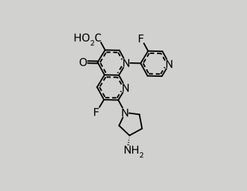 N[C@H]1CCN(c2nc3c(cc2F)c(=O)c(C(=O)O)cn3-c2ccncc2F)C1